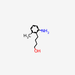 Cc1cccc(N)c1CCCCO